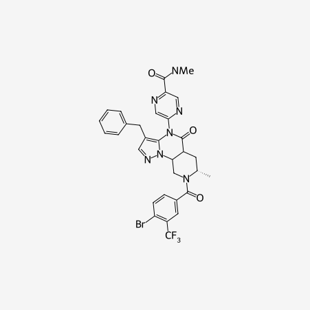 CNC(=O)c1cnc(N2C(=O)C3C[C@H](C)N(C(=O)c4ccc(Br)c(C(F)(F)F)c4)CC3n3ncc(Cc4ccccc4)c32)cn1